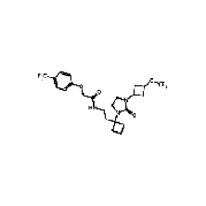 O=C(COc1ccc(C(F)(F)F)cc1)NCCC1(N2CCN(C3CC(OC(F)(F)F)C3)C2=O)CCC1